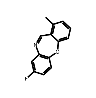 Cc1cccc2c1C=Nc1cc(F)ccc1O2